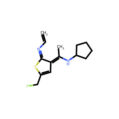 C=C/N=C1/SC(CF)=C/C1=C(/C)NC1CCCC1